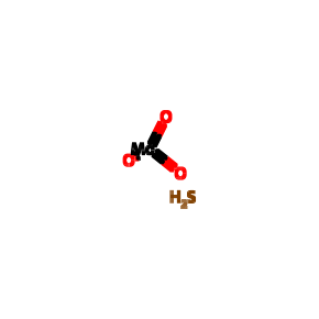 S.[O]=[Mo](=[O])=[O]